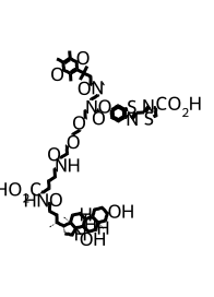 CC1=C(C)C(=O)C(C(C)(C)CC(=O)N(C)CCN(CCOCCOCCC(=O)NCCCCC(NC(=O)CC[C@@H](C)[C@H]2CC[C@H]3[C@@H]4[C@@H](O)C[C@@H]5C[C@H](O)CC[C@]5(C)[C@H]4CC[C@]23C)C(=O)O)C(=O)Oc2ccc3nc(C4=NC(C(=O)O)CS4)sc3c2)=C(C)C1=O